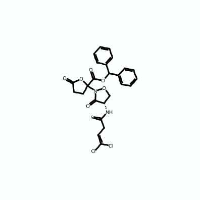 O=C1CCC(C(=O)OC(c2ccccc2)c2ccccc2)(N2OC[C@H](NC(=S)CC=C(Cl)Cl)C2=O)O1